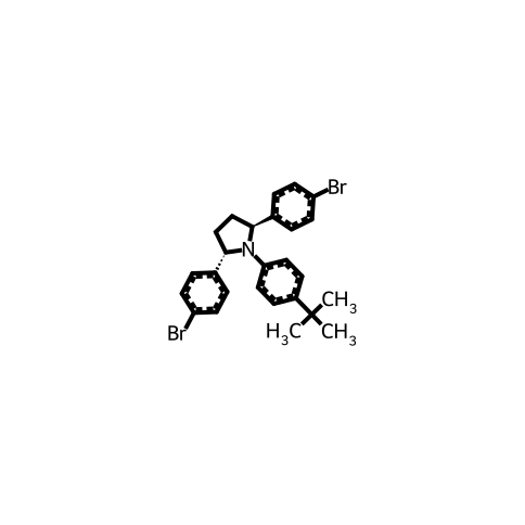 CC(C)(C)c1ccc(N2[C@H](c3ccc(Br)cc3)CC[C@H]2c2ccc(Br)cc2)cc1